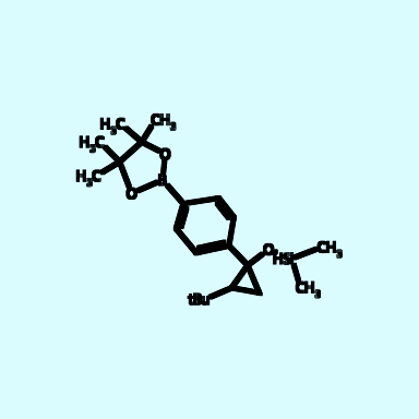 C[SiH](C)OC1(c2ccc(B3OC(C)(C)C(C)(C)O3)cc2)CC1C(C)(C)C